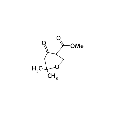 COC(=O)C1COC(C)(C)CC1=O